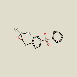 C[C@]1(C(F)(F)F)OC1Cc1ccc(S(=O)(=O)c2ccccc2)cc1